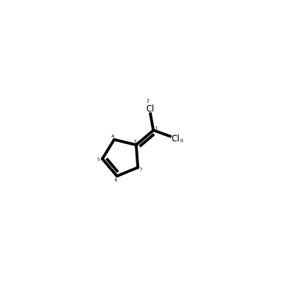 ClC(Cl)=C1CC=CC1